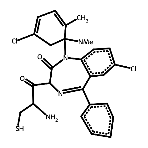 CNC1(N2C(=O)C(C(=O)C(N)CS)N=C(c3ccccc3)c3cc(Cl)ccc32)CC(Cl)=CC=C1C